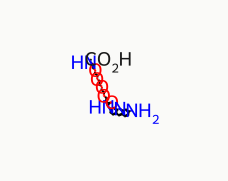 Nc1ccc2cc3ccc(NC(=O)CCOCCOCCOCCOCCNC(=O)O)cc3nc2c1